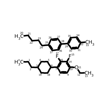 CCCC1CCC(c2ccc(OCC)c(F)c2F)CC1.CCCCCc1ccc(-c2ccc(C)cc2)cc1